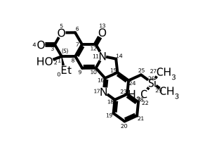 CC[C@@]1(O)C(=O)OCc2c1cc1n(c2=O)Cc2c-1nc1ccccc1c2C[Si](C)(C)C